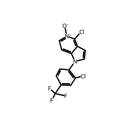 [O-][n+]1ccc2c(ccn2-c2ccc(C(F)(F)F)cc2Cl)c1Cl